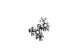 CC(C)(C)c1cccc(NC(=O)c2cc(C(F)(F)F)cc(C(F)(F)F)c2)c1